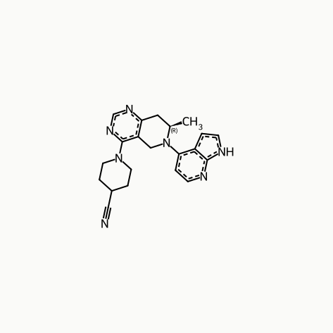 C[C@@H]1Cc2ncnc(N3CCC(C#N)CC3)c2CN1c1ccnc2[nH]ccc12